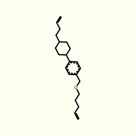 C=CCCCOCc1ccc(C2CCC(CCC=C)CC2)cc1